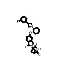 O=C1NC(=O)C2(N3Cc4cc(O[C@H]5CCCC[C@H]5N5CC(c6cccc(F)c6)C5)ccc4C3=O)CC1C2